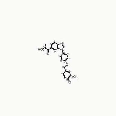 O=C(NO)c1ccc2ncn(-c3ccc(OCc4ccc(Cl)c(C(F)(F)F)c4)cc3)c2c1